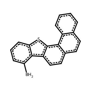 Bc1cccc2sc3c(ccc4ccc5ccccc5c43)c12